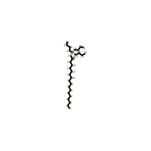 CCCCCCCCCCCCCCCCCC[PH](CCCC)(CCCC)CCCC